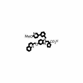 COc1ccc(-c2cccc(Cn3c(CC4(C(=O)O)CCCC4)nc4cc(OCc5ccc6ccccc6n5)ccc43)c2)cn1